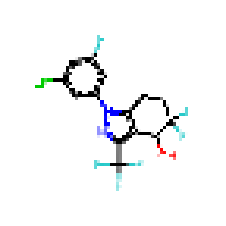 OC1c2c(C(F)(F)F)nn(-c3cc(F)cc(Cl)c3)c2CCC1(F)F